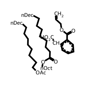 C=CCOC(=O)c1ccccc1.CC(=O)O.CCCCCCCCCCCCCCCCCC(=O)OCCCCCCCC.CCCCCCCCCCCCCCCCCCOC(C)=O